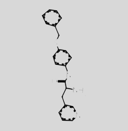 NC(Cc1cccnc1)C(=O)Nc1ccc(SCc2ccccc2)cc1